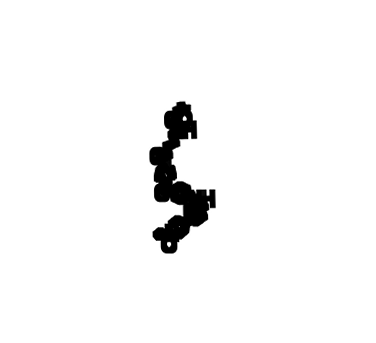 C=CC(=O)N1CCC(c2ccc(C)c(Nc3ccc(C(=O)N4CCN(C(=O)CCCCNC(=O)OC(C)(C)C)CC4)cc3)n2)CC1